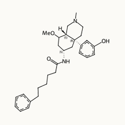 COC1C[C@@H](NC(=O)CCCCCc2ccccc2)C[C@]2(c3cccc(O)c3)CCN(C)C[C@@H]12